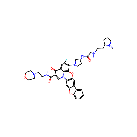 CN1CCCC1CCNCC(=O)N[C@@H]1CCN(c2c(F)cc3c(=O)c(C(=O)NCCN4CCOCC4)cn4c3c2Oc2cc3c(cc2-4)oc2ccccc23)C1